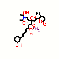 CCC1C=CC(=O)OC1C=CC(O)(CCN(C(C)O)C(C)O)C(CC(O)C=CC=CC1CCCC(O)C1)OP